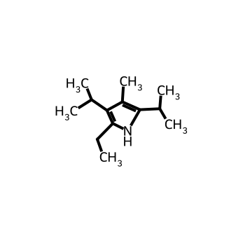 CCc1[nH]c(C(C)C)c(C)c1C(C)C